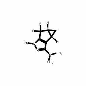 CC(C)n1nc(N(C)C)c2c1C(F)(F)[C@@H]1C[C@H]21